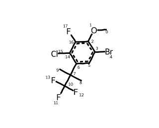 COc1c(Br)cc(C(C)(C)C(F)(F)F)c(Cl)c1F